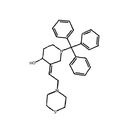 OC1CCN(C(c2ccccc2)(c2ccccc2)c2ccccc2)C/C1=C\CN1CCSCC1